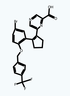 O=C(O)c1cncc(C2=C(c3cc(Br)ccc3OCc3ccc(C(F)(F)F)cc3)CCC2)n1